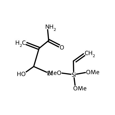 C=C(C(N)=O)C(O)CC.C=C[Si](OC)(OC)OC